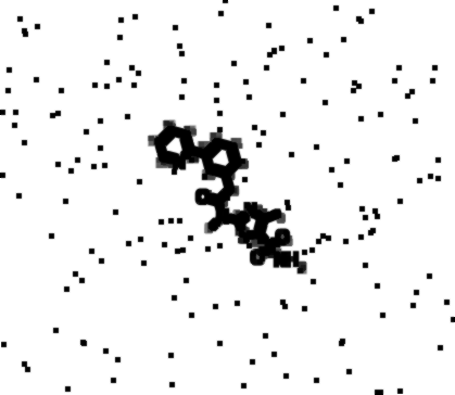 Cc1nc(N(C)C(=O)Cc2cccc(-c3ccccn3)c2)sc1S(N)(=O)=O